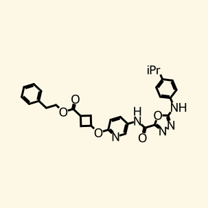 CC(C)c1ccc(Nc2nnc(C(=O)Nc3ccc(OC4CC(C(=O)OCCc5ccccc5)C4)nc3)o2)cc1